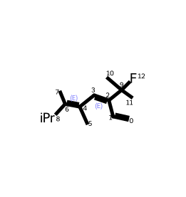 C=C/C(=C\C(C)=C(/C)C(C)C)C(C)(C)F